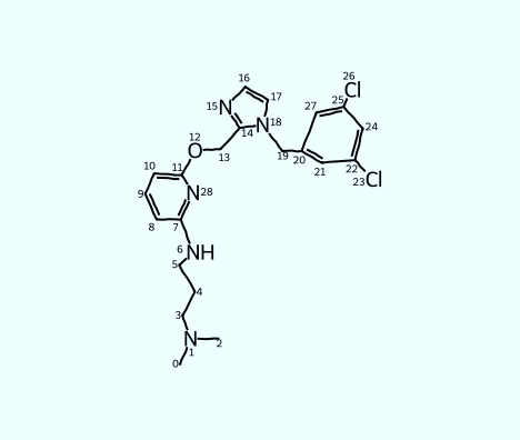 CN(C)CCCNc1cccc(OCc2nccn2Cc2cc(Cl)cc(Cl)c2)n1